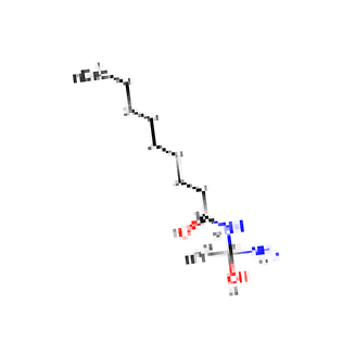 CCCCCCCCCCCCCCCCCC(=O)NC(N)(O)CCC